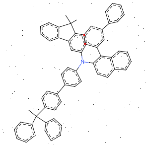 CC1(C)c2ccccc2-c2cc(N(c3ccc(-c4ccc(C(C)(c5ccccc5)c5ccccc5)cc4)cc3)c3ccc4ccccc4c3-c3cccc(-c4ccccc4)c3)ccc21